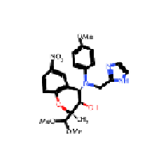 COc1ccc(N(Cc2ncc[nH]2)[C@H]2c3cc([N+](=O)[O-])ccc3O[C@](C)(C(OC)OC)[C@@H]2O)cc1